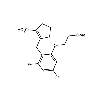 COCCOc1cc(F)cc(F)c1CC1=C(C(=O)O)CCC1